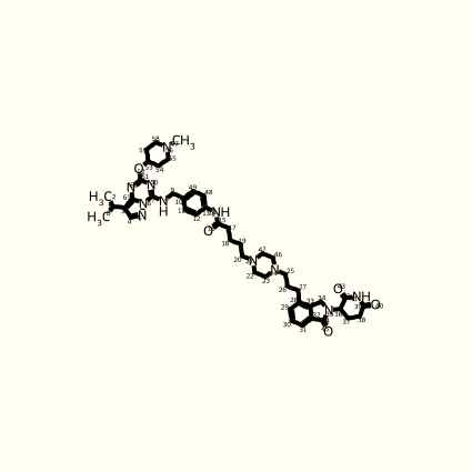 CC(C)c1cnn2c(NCc3ccc(NC(=O)CCCCN4CCN(CCCc5cccc6c5CN(C5CCC(=O)NC5=O)C6=O)CC4)cc3)nc(OC3CCN(C)CC3)nc12